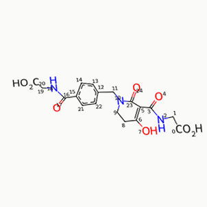 O=C(O)CNC(=O)C1=C(O)CCN(Cc2ccc(C(=O)NCC(=O)O)cc2)C1=O